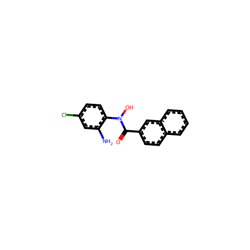 Nc1cc(Cl)ccc1N(O)C(=O)c1ccc2ccccc2c1